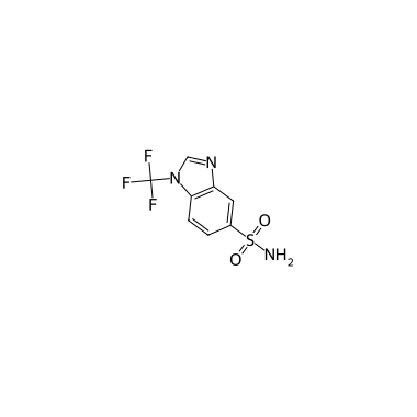 NS(=O)(=O)c1ccc2c(c1)ncn2C(F)(F)F